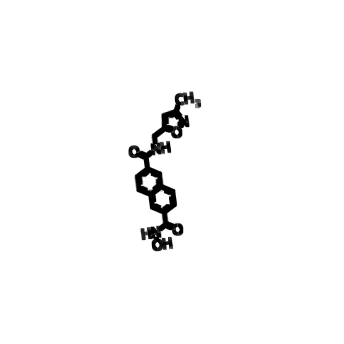 Cc1cc(CNC(=O)c2ccc3cc(C(=O)NO)ccc3c2)on1